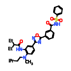 CCC(CC)C(=O)Nc1cc(-c2noc(-c3cccc(C(=O)NS(=O)(=O)c4ccccc4)c3)n2)ccc1N(C)CCC(C)C